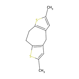 Cc1cc2c(s1)CCc1sc(C)cc1C2